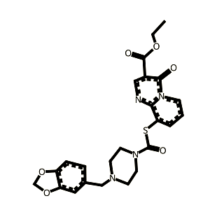 CCOC(=O)c1cnc2c(SC(=O)N3CCN(Cc4ccc5c(c4)OCO5)CC3)cccn2c1=O